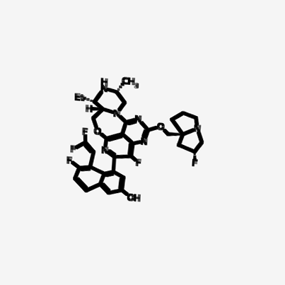 CC[C@@H]1N[C@H](C)CN2c3nc(OC[C@@]45CCCN4C[C@H](F)C5)nc4c(F)c(-c5cc(O)cc6ccc(F)c(C=C(F)F)c56)nc(c34)OC[C@H]12